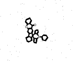 O=c1c2ccccc2oc2cc3c(cc12)C1(c2ccccc2-3)c2ccccc2N(c2ccccc2)c2ccccc21